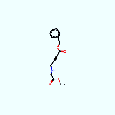 CCCOC(=O)CNCC#CC(=O)OCc1ccccc1